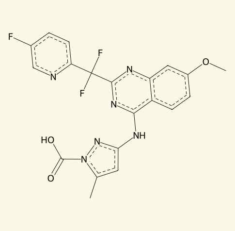 COc1ccc2c(Nc3cc(C)n(C(=O)O)n3)nc(C(F)(F)c3ccc(F)cn3)nc2c1